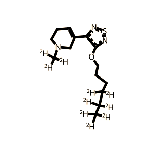 [2H]C([2H])([2H])N1CCC=C(c2nsnc2OCCCC([2H])([2H])C([2H])([2H])C([2H])([2H])[2H])C1